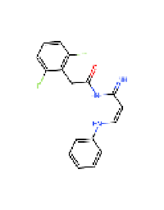 N=C(/C=C\Nc1ccccc1)NC(=O)Cc1c(F)cccc1F